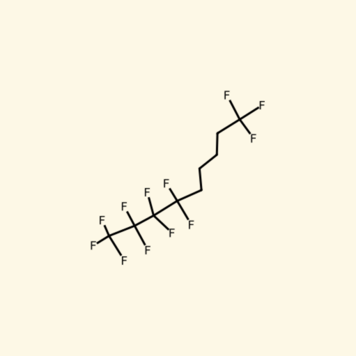 FC(F)(F)CCCCC(F)(F)C(F)(F)C(F)(F)C(F)(F)F